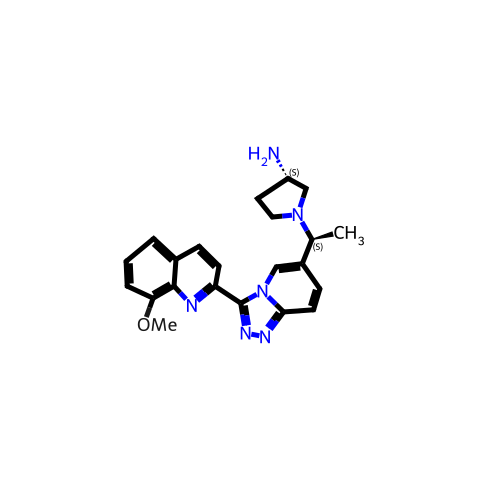 COc1cccc2ccc(-c3nnc4ccc([C@H](C)N5CC[C@H](N)C5)cn34)nc12